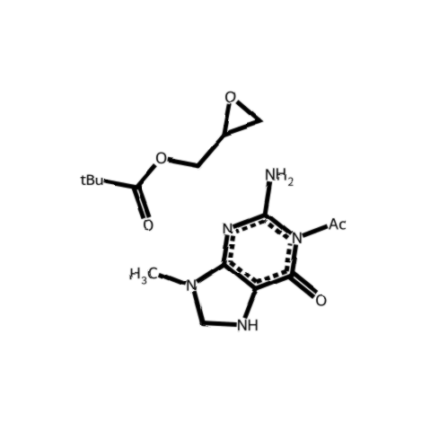 CC(=O)n1c(N)nc2c(c1=O)NCN2C.CC(C)(C)C(=O)OCC1CO1